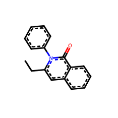 CCc1cc2ccccc2c(=O)n1-c1ccccc1